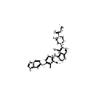 Cc1c(Oc2ccn3ncnc3c2)ccc(Nc2ncnc3cnc(N4CCN(C(=O)OC(C)(C)C)[C@H](C)C4)c(F)c23)c1F